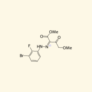 COCC(=O)/C(=N/Nc1cccc(Br)c1F)C(=O)OC